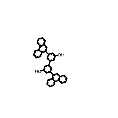 Oc1cc(-c2cc(O)cc(-c3cc4ccccc4c4ccccc34)c2)cc(-c2cc3ccccc3c3ccccc23)c1